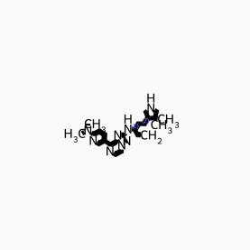 C=C/C(=C\C=C1/CNCC1(C)C)Nc1nc2c(-c3ccc(N(C)C)nc3)nccn2n1